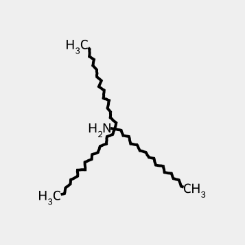 CCCCCCCCCCCCCCCCCC(N)(CCCCCCCCCCCCCCCC)CCCCCCCCCCCCCCCC